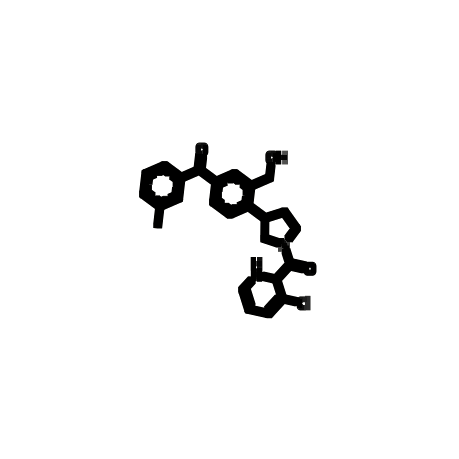 Cc1cccc(C(=O)c2ccc(C3CCN(C(=O)C4NC=CC=C4Cl)C3)c(CO)c2)c1